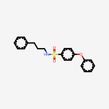 O=S(=O)(NCCCc1ccccc1)c1ccc(Oc2ccccc2)cc1